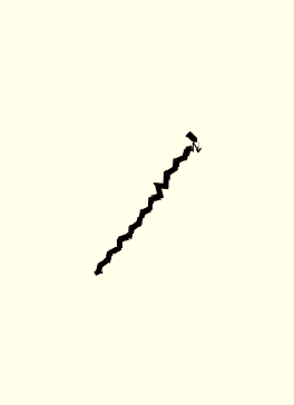 C=CN(C)CCCCCCCCCCCCCCCCCCCCC